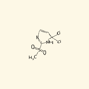 CS(=O)(=O)C1=NC=CC(Cl)(Cl)N1